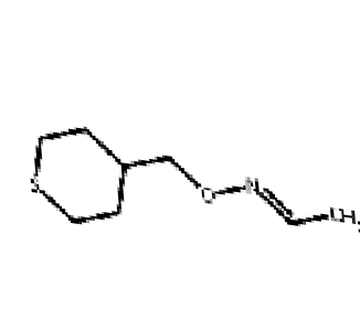 CC=NOCC1CCSCC1